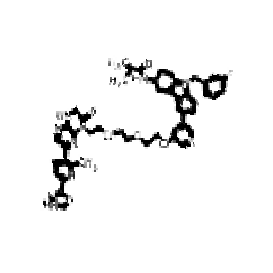 Cc1nc(-c2nc[nH]n2)ccc1-c1cnc2c(n1)N(CCOCCOCCOc1cncc(-c3ccc4c(c3)c3c(n4Cc4cccc(F)c4)CCC(NC(=O)C(C)C)C3)c1)C(=O)CN2